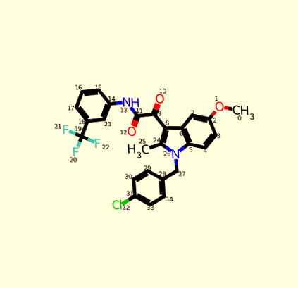 COc1ccc2c(c1)c(C(=O)C(=O)Nc1cccc(C(F)(F)F)c1)c(C)n2Cc1ccc(Cl)cc1